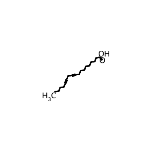 CCCCCC#CCC#CCCCCCCCCC(=O)O